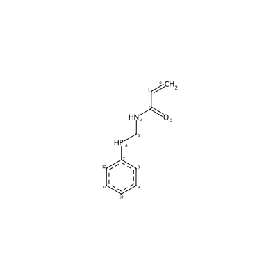 C=CC(=O)NCPc1ccccc1